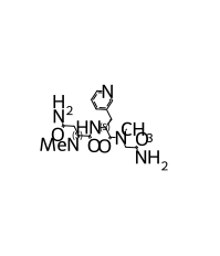 CN[C@@H](CC(N)=O)C(=O)N[C@@H](Cc1cccnc1)C(=O)N(C)CC(N)=O